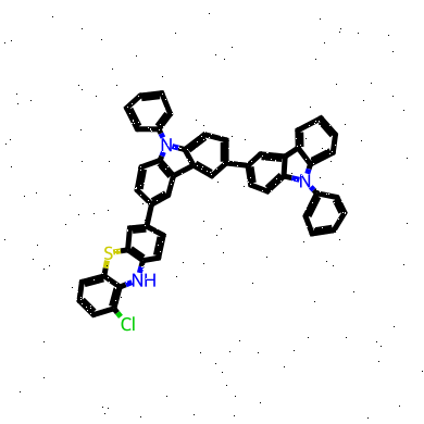 Clc1cccc2c1Nc1ccc(-c3ccc4c(c3)c3cc(-c5ccc6c(c5)c5ccccc5n6-c5ccccc5)ccc3n4-c3ccccc3)cc1S2